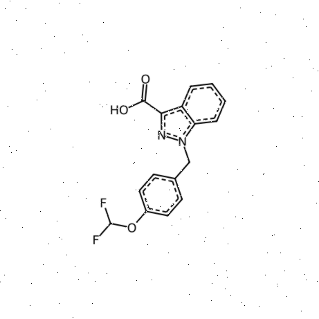 O=C(O)c1nn(Cc2ccc(OC(F)F)cc2)c2ccccc12